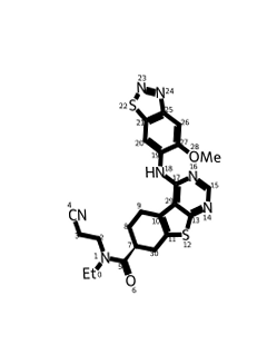 CCN(CCC#N)C(=O)[C@H]1CCc2c(sc3ncnc(Nc4cc5snnc5cc4OC)c23)C1